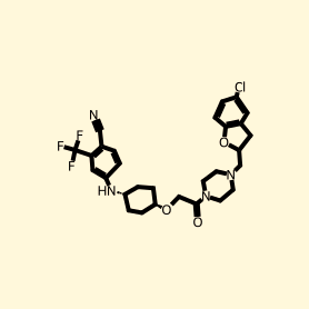 N#Cc1ccc(N[C@H]2CC[C@H](OCC(=O)N3CCN(CC4Cc5cc(Cl)ccc5O4)CC3)CC2)cc1C(F)(F)F